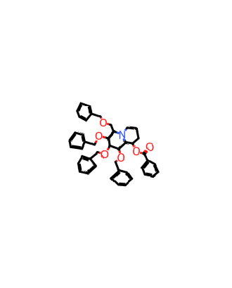 O=C(OC1CCCN2C(COCc3ccccc3)C(OCc3ccccc3)C(OCc3ccccc3)C(OCc3ccccc3)C12)c1ccccc1